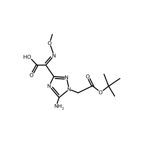 CO/N=C(\C(=O)O)c1nc(N)n(CC(=O)OC(C)(C)C)n1